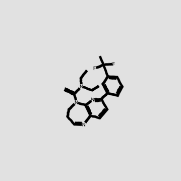 C=C(N(CC)CC)N1CCC=Nc2ccc(-c3cccc(C(C)(F)F)c3)nc21